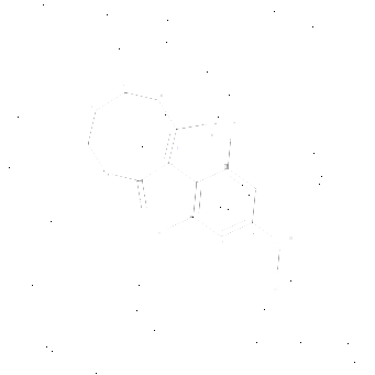 O=C1NCCCC/C(O)=C\1c1c(Br)cc(OC(F)(F)F)cc1Br